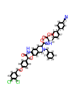 N#Cc1ccc(-c2ccc(C[C@H](NC(=O)C3Cc4cc5c(cc4CN3Cc3ccccc3)OC(c3ccc(OCc4ccc(Cl)c(Cl)c4)cc3)C(=O)N5)C(=O)O)cc2)cc1